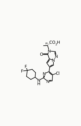 C[C@H](C(=O)O)n1cnn2cc(-c3nc(NC4CCC(F)(F)CC4)ncc3Cl)cc2c1=O